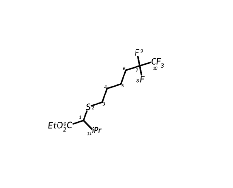 CCOC(=O)C(SCCCCC(F)(F)C(F)(F)F)C(C)C